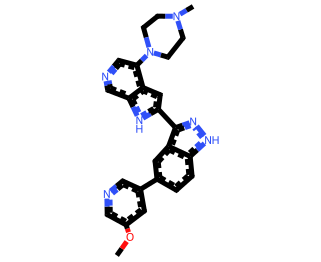 COc1cncc(-c2ccc3[nH]nc(-c4cc5c(N6CCN(C)CC6)cncc5[nH]4)c3c2)c1